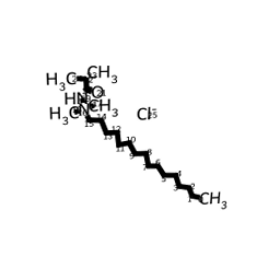 CCCCCCCCCCCCCCCC[N+](C)(C)NC(=O)C(C)C.[Cl-]